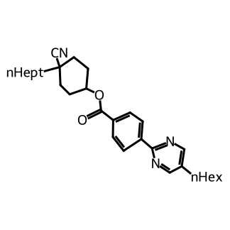 CCCCCCCC1(C#N)CCC(OC(=O)c2ccc(-c3ncc(CCCCCC)cn3)cc2)CC1